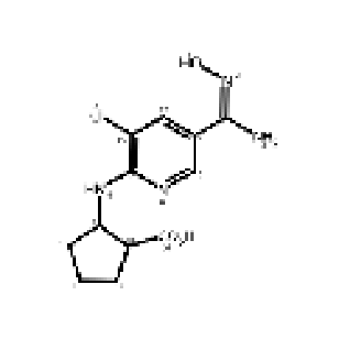 N/C(=N/O)c1cnc(NC2CCCC2C(=O)O)c(Cl)c1